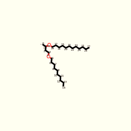 [CH2]C(CCOCCCCCCCCCC)OCCCCCCCCCCCC